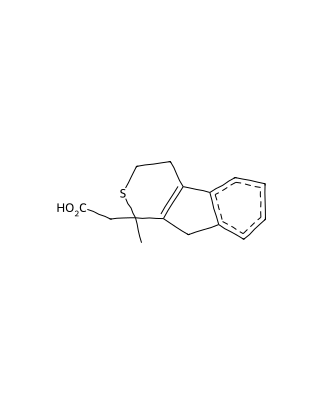 CC1(CC(=O)O)SCCC2=C1Cc1ccccc12